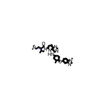 Cc1cc(Nc2ncnc3ccc(N4CC(C)/C(=C\CN(C)C)C4=O)nc23)ccc1Oc1ccc2c(c1)ncn2C